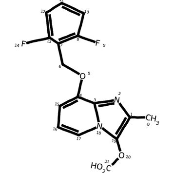 Cc1nc2c(OCc3c(F)cccc3F)cccn2c1OC(=O)O